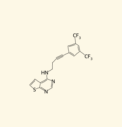 FC(F)(F)c1cc(C#CCCNc2ncnc3sccc23)cc(C(F)(F)F)c1